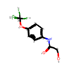 [O]CC(=O)Nc1ccc(OC(F)(F)F)cc1